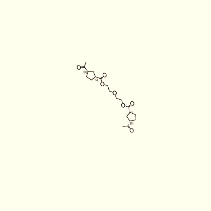 CC(=O)[C@@H]1CC[C@H](C(=O)OCCOCCOC(=O)[C@@H]2CC[C@H](C(C)=O)C2)C1